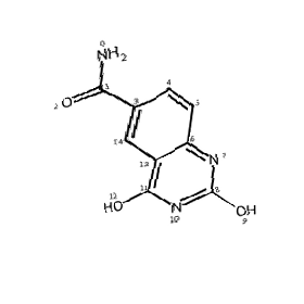 NC(=O)c1ccc2nc(O)nc(O)c2c1